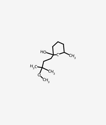 COC(C)(C)CCC1(O)CCCC(C)C1